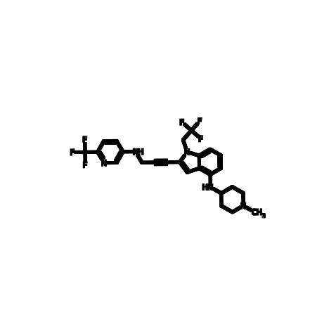 CN1CCC(Nc2cccc3c2cc(C#CCNc2ccc(C(F)(F)F)nc2)n3CC(F)(F)F)CC1